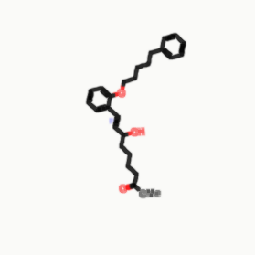 COC(=O)CCCCC(O)/C=C/c1ccccc1OCCCCCc1ccccc1